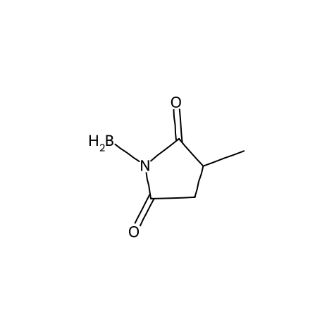 BN1C(=O)CC(C)C1=O